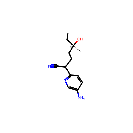 CC[C@@](C)(O)CCC(C#N)c1ccc(N)cn1